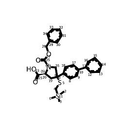 C[Si](C)(C)CS[C@@]1(c2ccc(-c3ccccc3)cc2)C[C@@H](C(=O)O)N(C(=O)OCc2ccccc2)C1